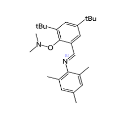 Cc1cc(C)c(/N=C/c2cc(C(C)(C)C)cc(C(C)(C)C)c2ON(C)C)c(C)c1